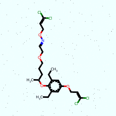 CCc1cc(OCC=C(Cl)Cl)cc(CC)c1OC(C)CCCOCC=NOCC=C(Cl)Cl